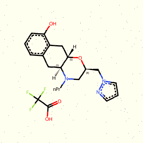 CCCN1C[C@H](Cn2cccn2)O[C@H]2Cc3c(O)cccc3C[C@@H]21.O=C(O)C(F)(F)F